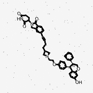 O=C1CCC(N2Cc3cc(C#CCCC4CN(CCOc5ccc([C@@H]6c7ccc(O)cc7OC[C@@H]6c6ccccc6)cc5)C4)ccc3C2=O)C(=O)N1